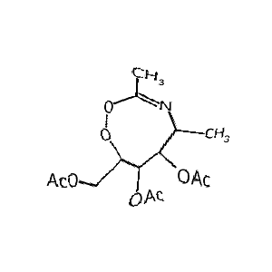 CC(=O)OCC1OO/C(C)=N\C(C)C(OC(C)=O)C1OC(C)=O